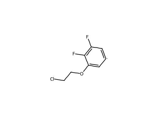 Fc1c[c]cc(OCCCl)c1F